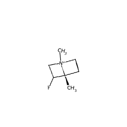 C[C@]12CC[N+]1(C)CC2F